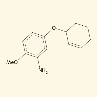 COc1ccc(OC2C=CCCC2)cc1N